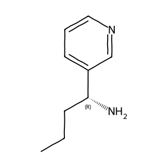 CCC[C@@H](N)c1cccnc1